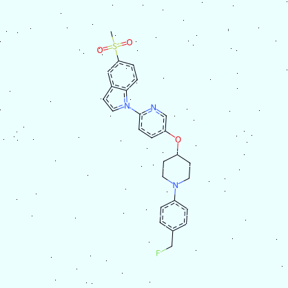 CS(=O)(=O)c1ccc2c(ccn2-c2ccc(OC3CCN(c4ccc(CF)cc4)CC3)cn2)c1